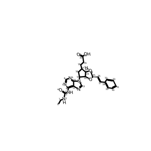 CCNC(=O)Nc1ncnc2c1ncn2C1CC(CCC(=O)O)[C@H]2O[C@@H](C=Cc3ccccc3)OC12